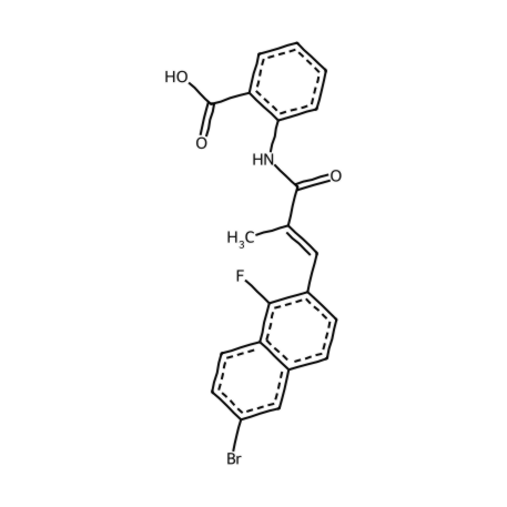 CC(=Cc1ccc2cc(Br)ccc2c1F)C(=O)Nc1ccccc1C(=O)O